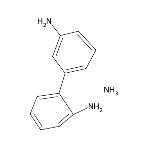 N.Nc1cccc(-c2ccccc2N)c1